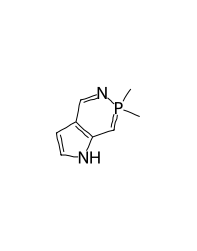 CP1(C)=Cc2[nH]ccc2C=N1